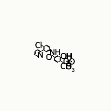 CC(O[SH](=O)=O)c1ccc(C(=O)Nc2ccc(Cl)c(-c3ccccn3)c2)cc1O